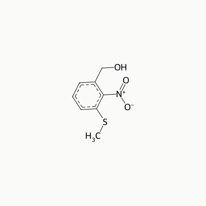 CSc1cccc(CO)c1[N+](=O)[O-]